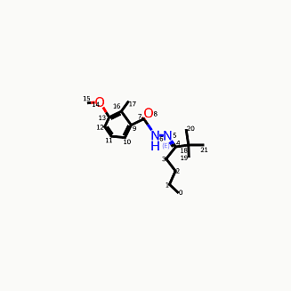 CCCC/C(=N\NC(=O)c1cccc(OC)c1C)C(C)(C)C